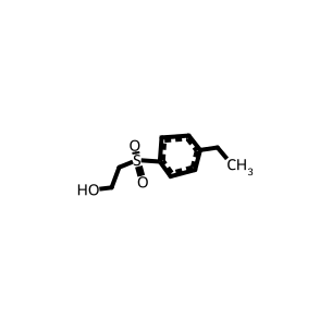 CCc1ccc(S(=O)(=O)CCO)cc1